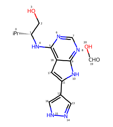 CC(C)[C@H](CO)Nc1ncnc2[nH]c(-c3cn[nH]c3)cc12.O=CO